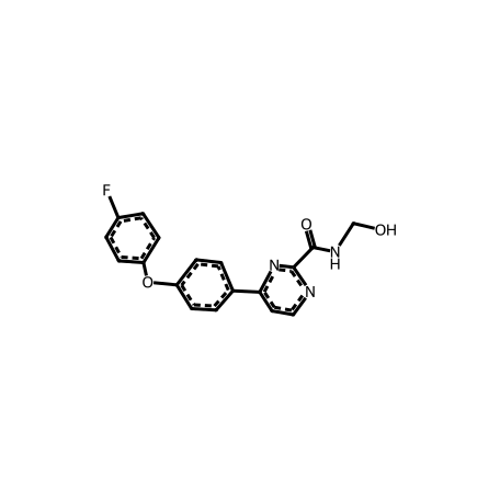 O=C(NCO)c1nccc(-c2ccc(Oc3ccc(F)cc3)cc2)n1